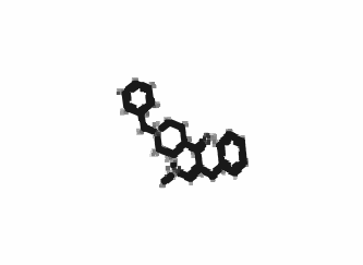 CN(C)/C=C(/Cc1ccccc1)C(=O)C1CCN(Cc2ccccc2)CC1